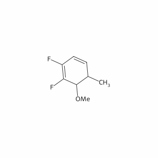 COC1C(F)=C(F)C=CC1C